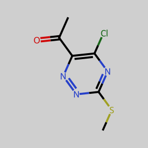 CSc1nnc(C(C)=O)c(Cl)n1